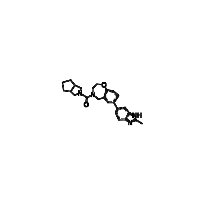 Cc1nc2ccc(-c3ccc4c(c3)CN(C(=O)N3CC5CCCC5C3)CCO4)cc2[nH]1